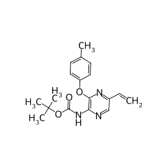 C=Cc1cnc(NC(=O)OC(C)(C)C)c(Oc2ccc(C)cc2)n1